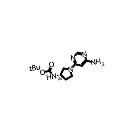 CC(C)(C)OC(=O)N[C@H]1CCN(c2cc(N)ncn2)C1